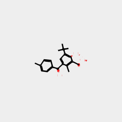 COC(=O)c1c(C)c(C(=O)c2ccc(C)cc2)cc(C(C)(C)C)c1OC